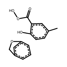 Cc1ccc(O)c(C(=O)OO)c1.c1cc2cc(c1)OC2